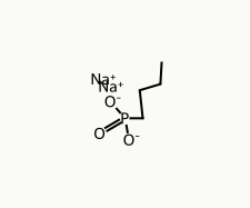 CCCCP(=O)([O-])[O-].[Na+].[Na+]